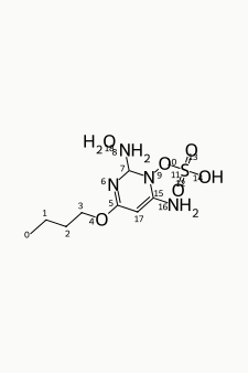 CCCCOC1=NC(N)N(OS(=O)(=O)O)C(N)=C1.O